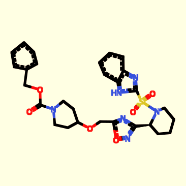 O=C(OCc1ccccc1)N1CCC(OCc2nc([C@@H]3CCCCN3S(=O)(=O)c3nc4ccccc4[nH]3)no2)CC1